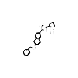 c1ccc(COc2ccc3cc(-c4noc(C5CCCN5)n4)ccc3c2)cc1